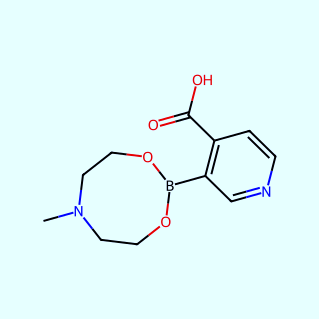 CN1CCOB(c2cnccc2C(=O)O)OCC1